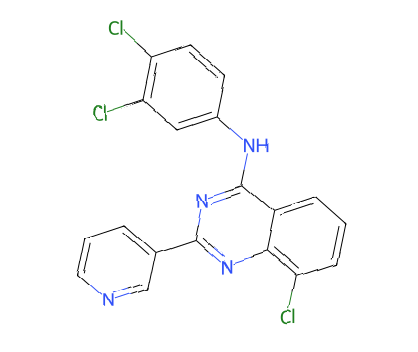 Clc1ccc(Nc2nc(-c3cccnc3)nc3c(Cl)cccc23)cc1Cl